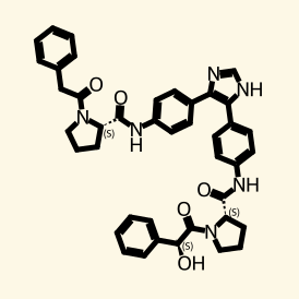 O=C(Nc1ccc(-c2nc[nH]c2-c2ccc(NC(=O)[C@@H]3CCCN3C(=O)[C@@H](O)c3ccccc3)cc2)cc1)[C@@H]1CCCN1C(=O)Cc1ccccc1